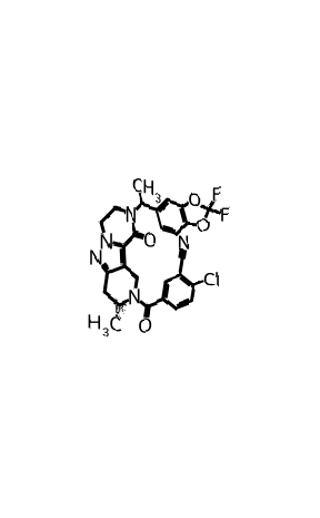 CC(c1ccc2c(c1)OC(F)(F)O2)N1CCn2nc3c(c2C1=O)CN(C(=O)c1ccc(Cl)c(C#N)c1)[C@H](C)C3